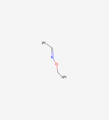 CCCCON=CC(C)C